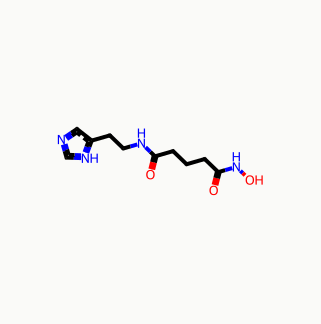 O=C(CCCC(=O)NCCc1cnc[nH]1)NO